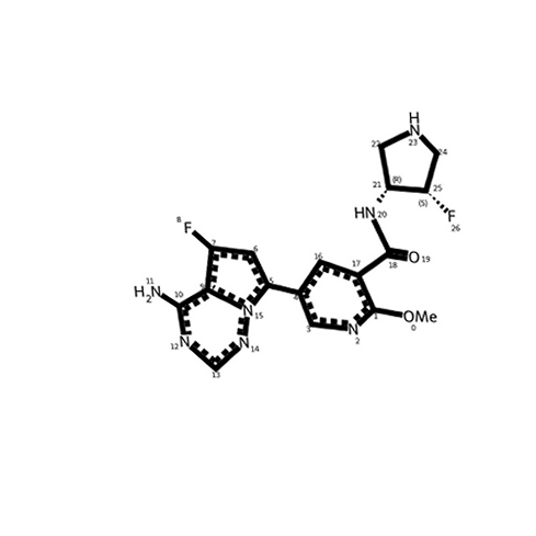 COc1ncc(-c2cc(F)c3c(N)ncnn23)cc1C(=O)N[C@@H]1CNC[C@@H]1F